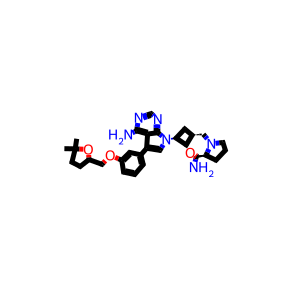 CC1(C)CCC(COc2cccc(-c3cn([C@H]4C[C@@H](CN5CCC[C@H]5C(N)=O)C4)c4ncnc(N)c34)c2)O1